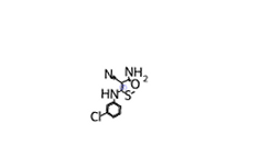 CS/C(Nc1cccc(Cl)c1)=C(/C#N)C(N)=O